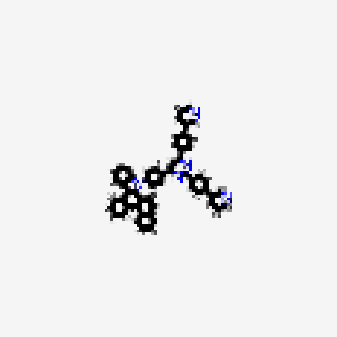 c1cncc(-c2ccc(-c3cc(-c4ccc(-n5c6ccccc6c6c7ccccc7c7c8ccccc8ccc7c65)cc4)nc(-c4ccc(-c5cccnc5)cc4)n3)cc2)c1